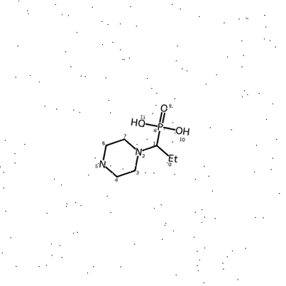 CCC(N1CC[N]CC1)P(=O)(O)O